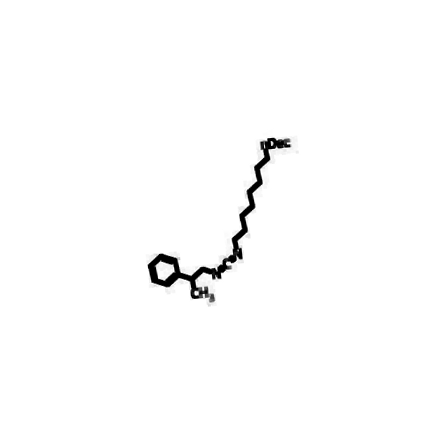 CCCCCCCCCCCCCCCCCCN=C=NCC(C)c1ccccc1